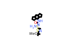 COC(C)(C)c1ncc(/S(N)=N/C(=O)Nc2c3c(cc4c2CCC4)CCC3)s1